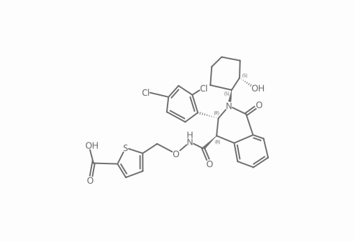 O=C(O)c1ccc(CONC(=O)[C@@H]2c3ccccc3C(=O)N([C@H]3CCCC[C@@H]3O)[C@H]2c2ccc(Cl)cc2Cl)s1